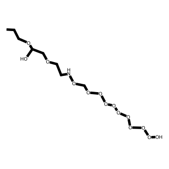 CCCOC(O)COCCNOCOOOOOOOOOO